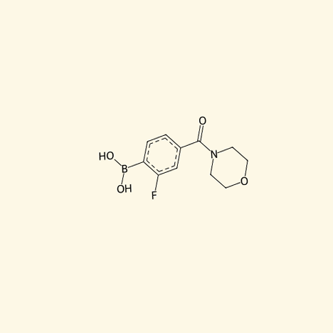 O=C(c1ccc(B(O)O)c(F)c1)N1CCOCC1